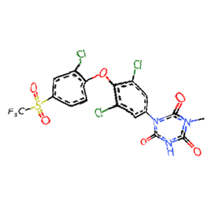 Cn1c(=O)[nH]c(=O)n(-c2cc(Cl)c(Oc3ccc(S(=O)(=O)C(F)(F)F)cc3Cl)c(Cl)c2)c1=O